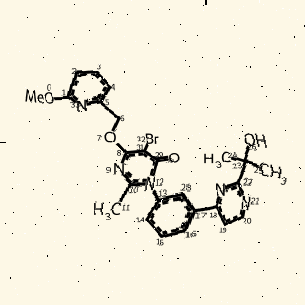 COc1cccc(COc2nc(C)n(-c3cccc(-c4ccnc(C(C)(C)O)n4)c3)c(=O)c2Br)n1